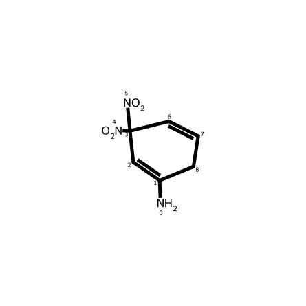 NC1=CC([N+](=O)[O-])([N+](=O)[O-])C=CC1